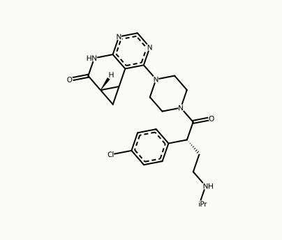 CC(C)NCC[C@@H](C(=O)N1CCN(c2ncnc3c2C2C[C@@H]2C(=O)N3)CC1)c1ccc(Cl)cc1